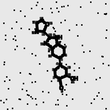 O=c1ccn(-c2ccc3[nH]c(-c4ncco4)nc3c2)cc1O